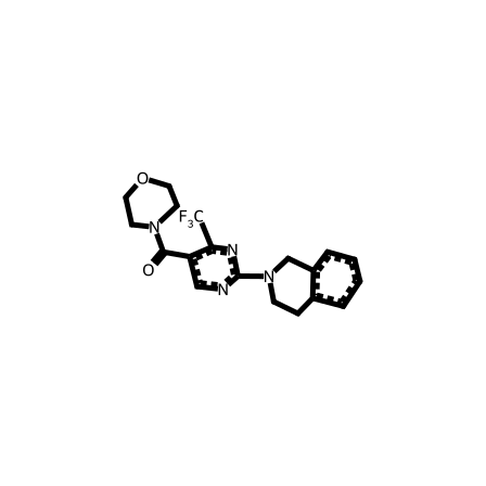 O=C(c1cnc(N2CCc3ccccc3C2)nc1C(F)(F)F)N1CCOCC1